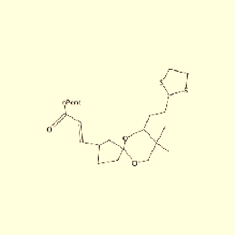 CCCCCC(=O)C=CC1CCC2(C1)OCC(C)(C)C(CCC1SCCS1)O2